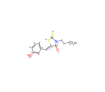 O=C(O)CCN1C(=O)/C(=C/c2cccc(O)c2)SC1=S